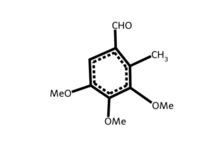 COc1cc(C=O)c(C)c(OC)c1OC